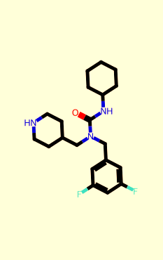 O=C(NC1CCCCC1)N(Cc1cc(F)cc(F)c1)CC1CCNCC1